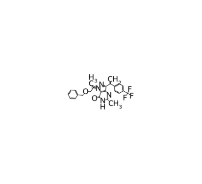 C=C(c1ccc(C(F)(F)F)cc1)c1nn([C@H](C)COCc2ccccc2)c2c(=O)[nH]c(C)nc12